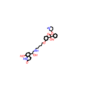 CN1CCCC(OC(=O)C(O)(c2ccccc2)c2cccc(OCCCCCNC[C@H](O)c3ccc(O)c4[nH]c(=O)ccc34)c2)C1